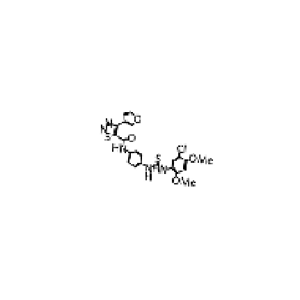 COc1cc(OC)c(NC(=S)Nc2ccc(NC(=O)c3snnc3-c3ccoc3)cc2)cc1Cl